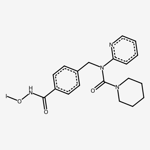 O=C(NOI)c1ccc(CN(C(=O)N2CCCCC2)c2ccccn2)cc1